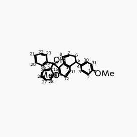 COc1ccc(C2CC=Cc3c2ccc(OC)c3C(O)(c2ccccc2)c2ccccc2)cc1